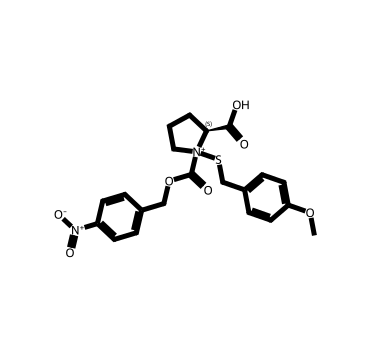 COc1ccc(CS[N+]2(C(=O)OCc3ccc([N+](=O)[O-])cc3)CCC[C@H]2C(=O)O)cc1